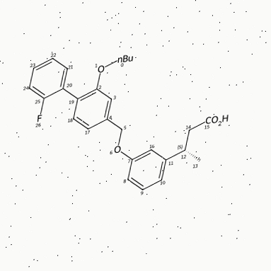 CCCCOc1cc(COc2cccc([C@@H](C)CC(=O)O)c2)ccc1-c1ccccc1F